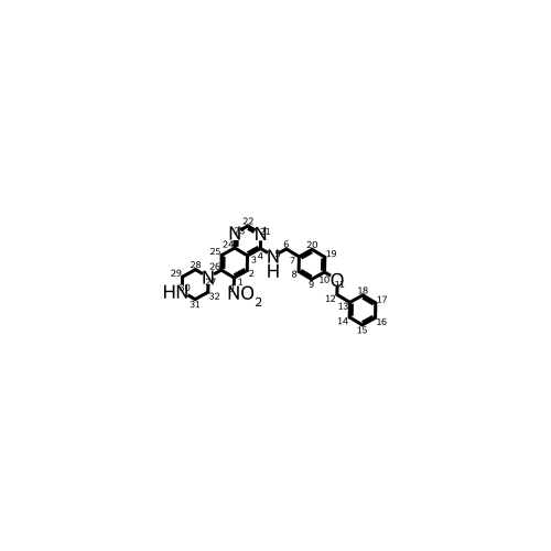 O=[N+]([O-])c1cc2c(NCc3ccc(OCc4ccccc4)cc3)ncnc2cc1N1CCNCC1